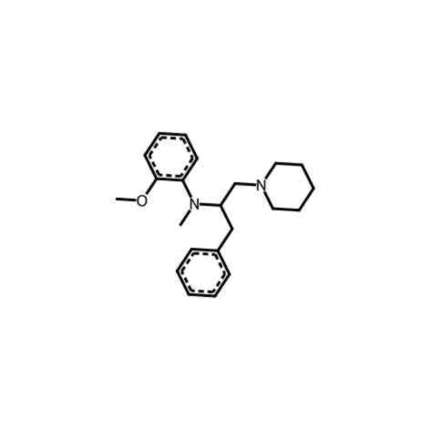 COc1ccccc1N(C)C(Cc1ccccc1)CN1CCCCC1